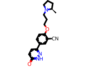 C[C@@H]1CCCN1CCCOc1ccc(-c2ccc(=O)[nH]n2)cc1C#N